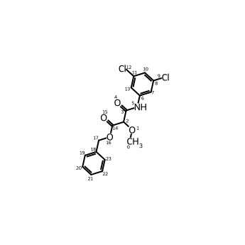 COC(C(=O)Nc1cc(Cl)cc(Cl)c1)C(=O)OCc1ccccc1